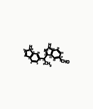 CC(c1ccc2cn[nH]c2c1)c1n[nH]c2ccc(C=O)cc12